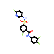 O=C(Nc1ccc(F)c(F)c1)c1cc(S(=O)(=O)Nc2ccc(F)nc2)ccc1F